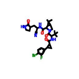 CC(C)(C)C(NC(=O)C1CC1c1ccc(Br)c(F)c1)C(=O)N1CC2C(C1C(=O)NC(C#N)CC1CCNC1=O)C2(C)C